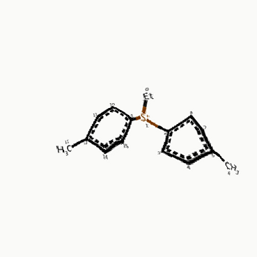 CC[S+](c1ccc(C)cc1)c1ccc(C)cc1